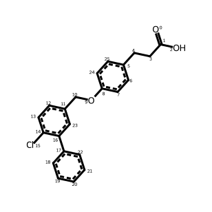 O=C(O)CCc1ccc(OCc2ccc(Cl)c(-c3ccccc3)c2)cc1